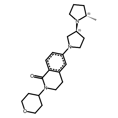 C[C@H]1CCCN1[C@H]1CCN(c2ccc3c(c2)CCN(C2CCOCC2)C3=O)C1